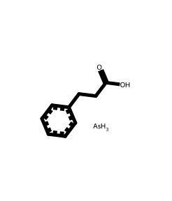 O=C(O)CCc1ccccc1.[AsH3]